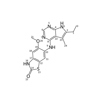 CCc1[nH]c2ncnc(Nc3cc4sc(=O)[nH]c4cc3OC)c2c1C